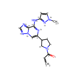 C=CC(=O)N1CCC(c2cn3ncnc3c(Nc3ccn(C)n3)n2)C1